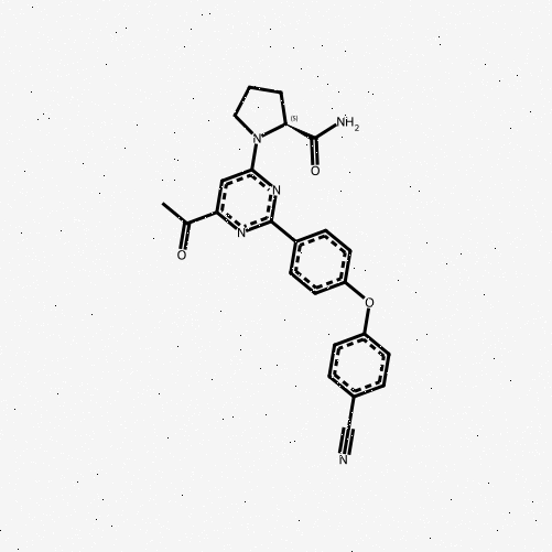 CC(=O)c1cc(N2CCC[C@H]2C(N)=O)nc(-c2ccc(Oc3ccc(C#N)cc3)cc2)n1